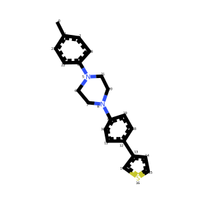 Cc1ccc(N2CCN(c3ccc(-c4ccsc4)cc3)CC2)cc1